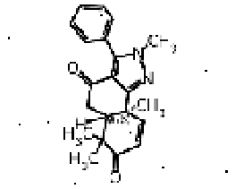 Cn1nc2c(c1-c1ccccc1)C(=O)C[C@H]1C(C)(C)C(=O)C=C[C@]21C